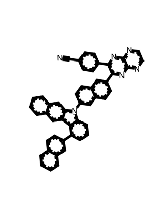 N#Cc1ccc(-c2nc3nccnc3nc2-c2ccc3cc(-n4c5cc6ccccc6cc5c5c(-c6ccc7ccccc7c6)cccc54)ccc3c2)cc1